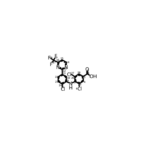 O=C(O)c1cc(Cl)c(Nc2cc(-c3nccc(C(F)(F)F)n3)ccc2Cl)c(Cl)c1